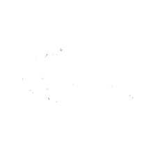 O=C1C[C@@H](C2C=CC=C(Cl)C2)[C@]2(C(=O)Nc3cc(Cl)ccc32)[C@@H](c2cc(I)ccc2OC2CCN(C(=O)N3CCCC3)CC2)N1